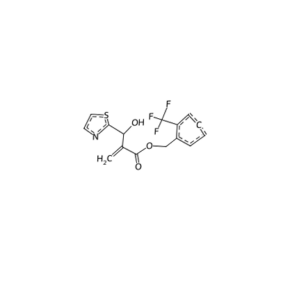 C=C(C(=O)OCc1ccccc1C(F)(F)F)C(O)c1nccs1